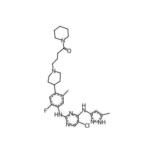 Cc1cc(Nc2nc(Nc3cc(C)c(C4CCN(CCCC(=O)N5CCCCC5)CC4)cc3F)ncc2Cl)n[nH]1